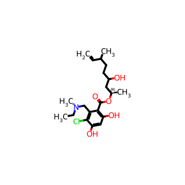 C=CC(C)CCC(O)C[C@@H](C)OC(=O)c1c(O)cc(O)c(Cl)c1CN(C)CC